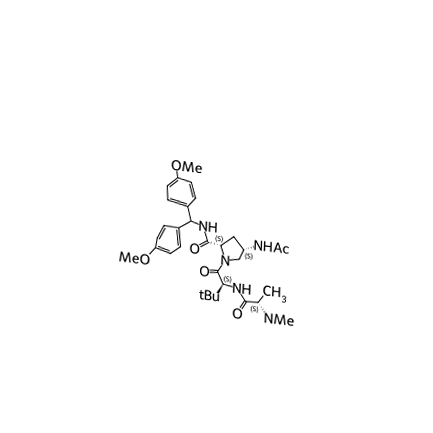 CN[C@@H](C)C(=O)N[C@H](C(=O)N1C[C@@H](NC(C)=O)C[C@H]1C(=O)NC(c1ccc(OC)cc1)c1ccc(OC)cc1)C(C)(C)C